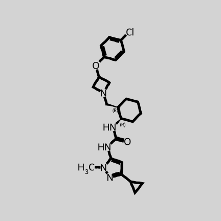 Cn1nc(C2CC2)cc1NC(=O)N[C@@H]1CCCC[C@@H]1CN1CC(Oc2ccc(Cl)cc2)C1